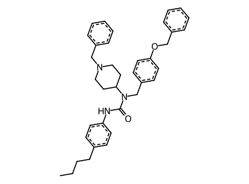 CCCCc1ccc(NC(=O)N(Cc2ccc(OCc3ccccc3)cc2)C2CCN(Cc3ccccc3)CC2)cc1